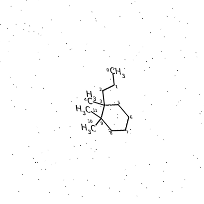 CCCC1(C)CCC[C]C1(C)C